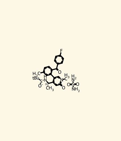 Cc1ccc(C(=O)c2ccc(F)cc2)c(-c2cn(C)c(=O)cc2[C@H](C)N[S+]([O-])C(C)(C)C)c1.NS(N)(=O)=O